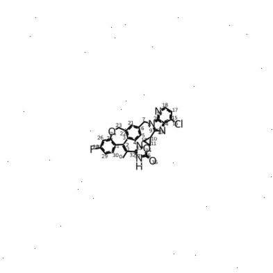 CC(=C1c2ccc(Cn3c(C4CC4)nc4c(Cl)ccnc43)cc2COc2cc(F)ccc21)c1noc(=O)[nH]1